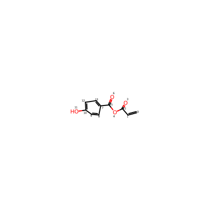 C=CC(=O)OC(=O)c1ccc(O)cc1